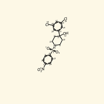 O=[N+]([O-])c1ccc(S(=O)(=O)N2CCC(O)(c3cc(Cl)cc(Cl)c3)CC2)cc1